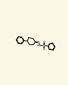 O=S(=O)(NN=C1CCC(c2ccccc2)CC1)c1ccccc1